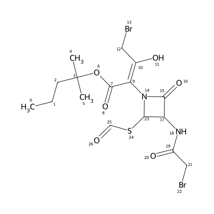 CCCC(C)(C)OC(=O)C(=C(O)CBr)N1C(=O)C(NC(=O)CBr)C1SC=O